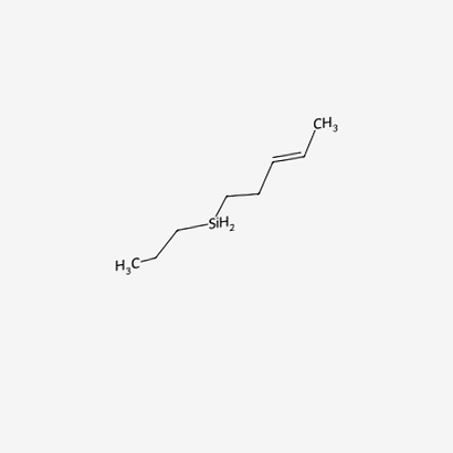 CC=CCC[SiH2]CCC